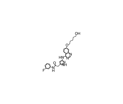 O=C(Cc1cc(Nc2ncnc3cc(OCCCCCO)ccc23)n[nH]1)Nc1cccc(F)c1